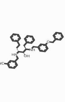 N#Cc1cccc(CN[C@H](CCc2ccccc2)[C@@H](O)[C@@H](Cc2ccccc2)NCc2cccc(OCc3ccccc3)c2)c1